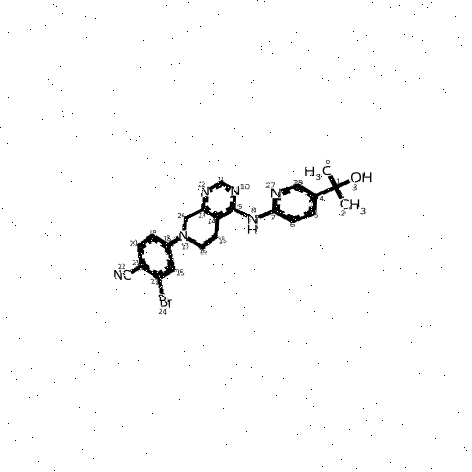 CC(C)(O)c1ccc(Nc2ncnc3c2CCN(c2ccc(C#N)c(Br)c2)C3)nc1